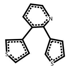 c1cnc(-c2ccsc2)c(-c2ccsc2)c1